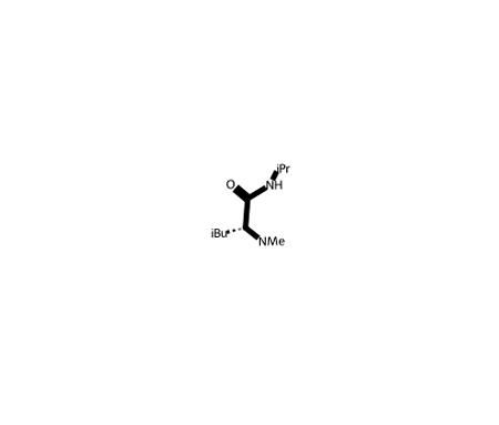 CCC(C)[C@@H](NC)C(=O)NC(C)C